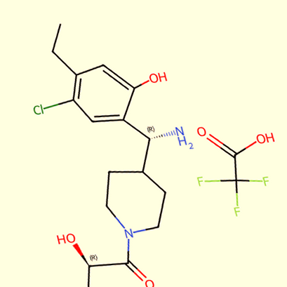 CCc1cc(O)c([C@H](N)C2CCN(C(=O)[C@H](O)CO)CC2)cc1Cl.O=C(O)C(F)(F)F